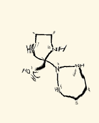 O=C(O)C1(N2NCCN2)NCCN1